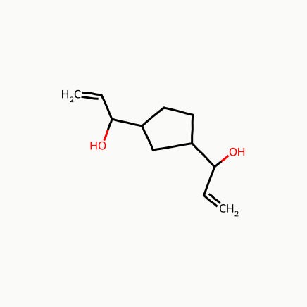 C=CC(O)C1CCC(C(O)C=C)C1